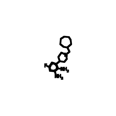 Nc1cc(F)cc(C2CCN(CC3CCCCCCC3)CC2)c1N